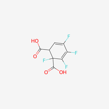 O=C(O)C1C=C(F)C(F)=C(F)C1(F)C(=O)O